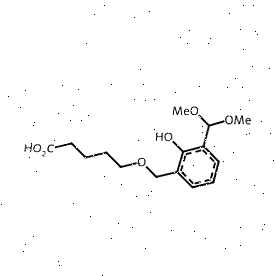 COC(OC)c1cccc(COCCCCC(=O)O)c1O